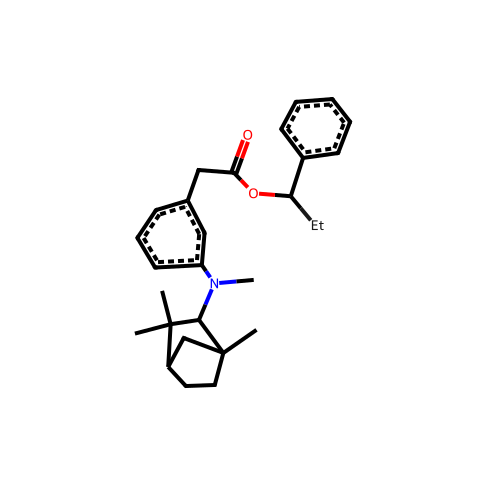 CCC(OC(=O)Cc1cccc(N(C)C2C3(C)CCC(C3)C2(C)C)c1)c1ccccc1